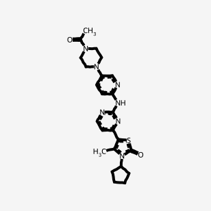 CC(=O)N1CCN(c2ccc(Nc3nccc(-c4sc(=O)n(C5CCCC5)c4C)n3)nc2)CC1